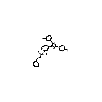 Cc1cccc(-c2nc(-c3ccc(F)cc3)sc2-c2ccnc(NC(=O)CCc3ccccc3)c2)c1